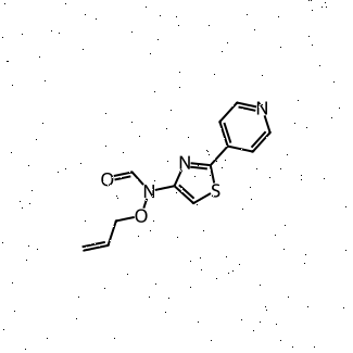 C=CCON(C=O)c1csc(-c2ccncc2)n1